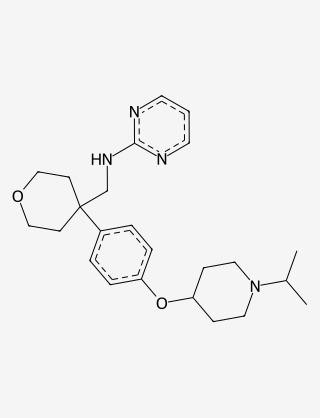 CC(C)N1CCC(Oc2ccc(C3(CNc4ncccn4)CCOCC3)cc2)CC1